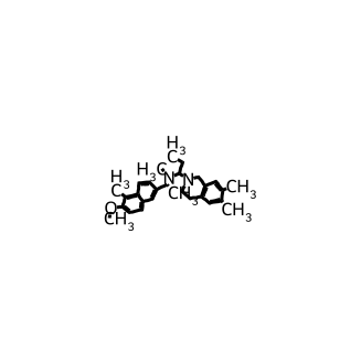 CCC(N1CCc2cc(C)c(C)cc2C1)N(C)C(C)c1ccc2c(C)c(OC)ccc2c1